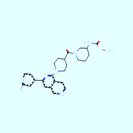 CC(C)(C)OC(=O)NC1CCCN(C(=O)C2CCN(c3nc(-c4ccnc(Cl)c4)cc4cnccc34)CC2)C1